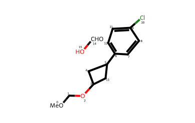 COCOC1CC(c2ccc(Cl)cc2)C1.O=CO